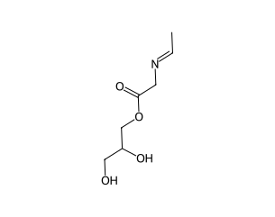 CC=NCC(=O)OCC(O)CO